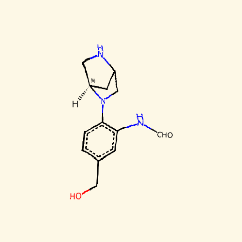 O=CNc1cc(CO)ccc1N1CC2C[C@@H]1CN2